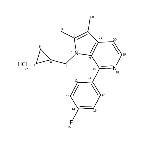 Cc1c(C)n(CC2CC2)c2c(-c3ccc(F)cc3)nccc12.Cl